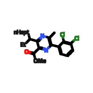 CCCCCCCC(CC)c1nc(C)c(-c2cccc(Cl)c2Cl)nc1C(=O)OC